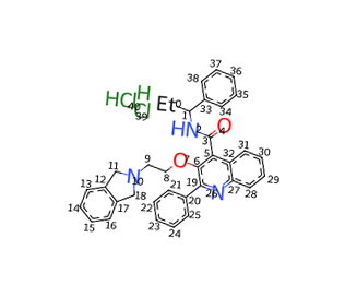 CCC(NC(=O)c1c(OCCN2Cc3ccccc3C2)c(-c2ccccc2)nc2ccccc12)c1ccccc1.Cl.Cl